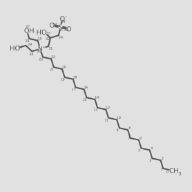 CCCCCCCCCCCCCCCCCCCCCCCC[N+](CCO)(CCO)CC(O)CS(=O)(=O)[O-]